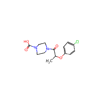 CC(Oc1ccc(Cl)cc1)C(=O)N1CCN(C(=O)O)CC1